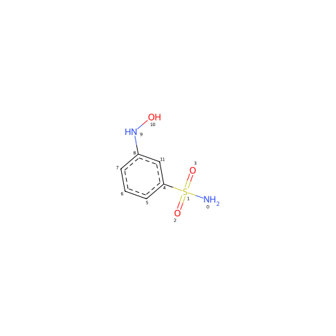 NS(=O)(=O)c1cccc(NO)c1